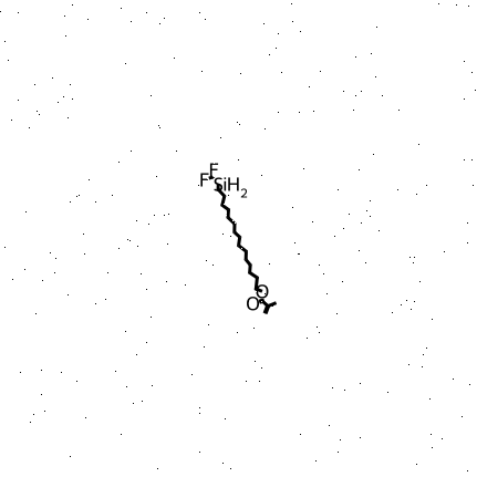 C=C(C)C(=O)OCCCCCCCCCCCCCCC[SiH2]C(F)F